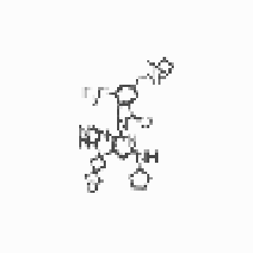 Cn1cnnc1C1(c2cc(NC3CCCC3)nc(N3Cc4c(cc(CNC5(C)CCC5)cc4C(F)(F)F)C3=O)c2)CC2(COC2)C1